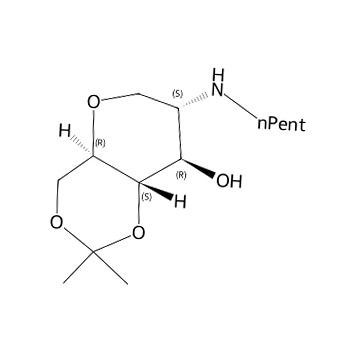 CCCCCN[C@H]1CO[C@@H]2COC(C)(C)O[C@H]2[C@@H]1O